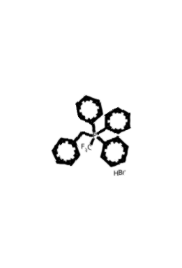 Br.FC(F)(F)P(Cc1ccccc1)(c1ccccc1)(c1ccccc1)c1ccccc1